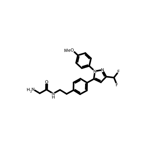 COc1ccc(-n2nc(C(F)F)cc2-c2ccc(CCNC(=O)CN)cc2)cc1